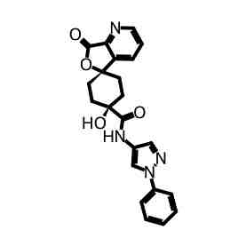 O=C1O[C@]2(CC[C@@](O)(C(=O)Nc3cnn(-c4ccccc4)c3)CC2)c2cccnc21